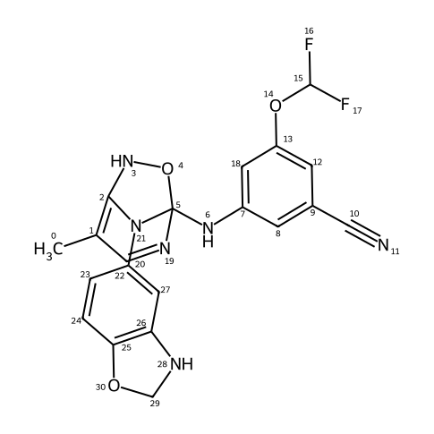 CC1=C2NOC(Nc3cc(C#N)cc(OC(F)F)c3)(N=C1)N2c1ccc2c(c1)NCO2